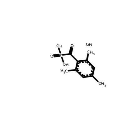 Cc1cc(C)c(C(=O)P(=O)(O)O)c(C)c1.[LiH]